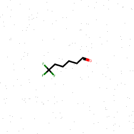 O=[C]CCCCC(F)(F)F